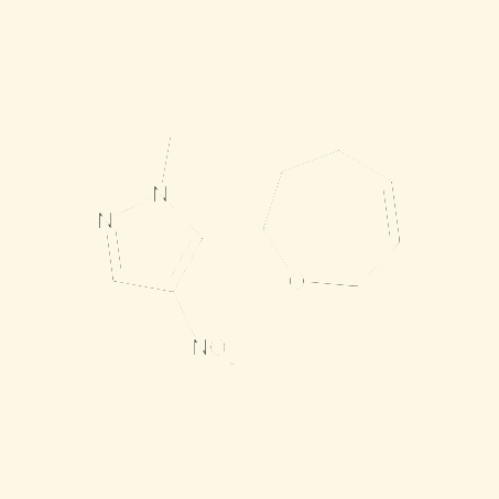 Cn1ncc([N+](=O)[O-])c1[C@@H]1CCC=CCO1